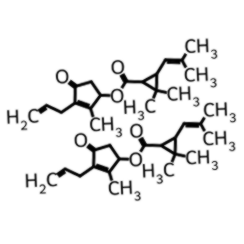 C=CCC1=C(C)C(OC(=O)C2C(C=C(C)C)C2(C)C)CC1=O.C=CCC1=C(C)C(OC(=O)C2C(C=C(C)C)C2(C)C)CC1=O